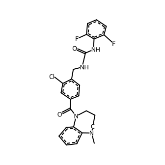 CN1CCCN(C(=O)c2ccc(CNC(=O)Nc3c(F)cccc3F)c(Cl)c2)c2ccccc21